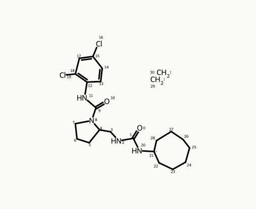 O=C(NCC1CCCN1C(=O)Nc1ccc(Cl)cc1Cl)N[C]1CCCCCCC1.[CH2].[CH2]